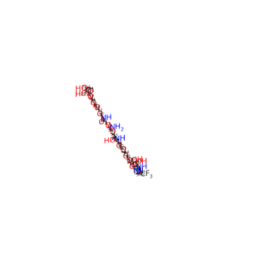 NC(COCCC(=O)NCCOCCOCCOCCOC[C@H]1OCC[C@@H](O)[C@H]1O)COCCC(O)NCCOCCOCCOCCOC[C@H]1OC[C@H](Nc2nccc(C(F)(F)F)n2)[C@@H](O)[C@H]1O